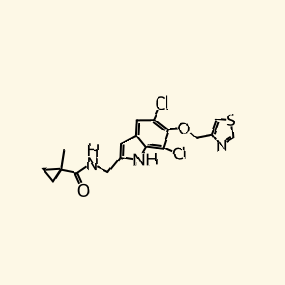 CC1(C(=O)NCc2cc3cc(Cl)c(OCc4cscn4)c(Cl)c3[nH]2)CC1